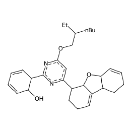 CCCCC(CC)COc1cc(C2CCC=C3C4CCC=CC4OC32)nc(C2C=CC=CC2O)n1